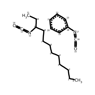 CCCCCCCCCC(CC)N=C=O.O=C=Nc1ccccc1